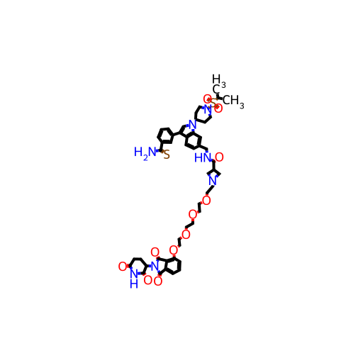 CC(C)S(=O)(=O)N1CCC(n2cc(-c3cccc(C(N)=S)c3)c3ccc(CNC(=O)C4CN(CCOCCOCCOCCOc5cccc6c5C(=O)N(C5CCC(=O)NC5=O)C6=O)C4)cc32)CC1